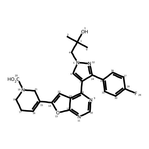 CC(C)(O)Cn1cc(-c2ncnc3oc(C4=CCCN(C(=O)O)C4)cc23)c(-c2ccc(F)cc2)n1